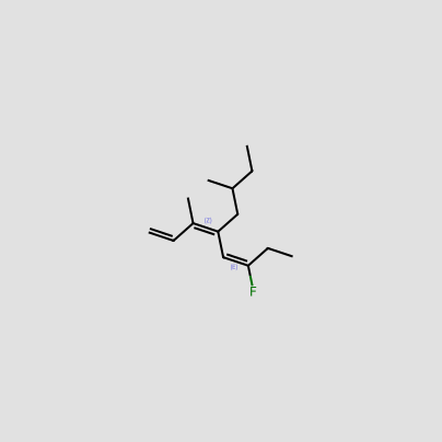 C=C/C(C)=C(\C=C(\F)CC)CC(C)CC